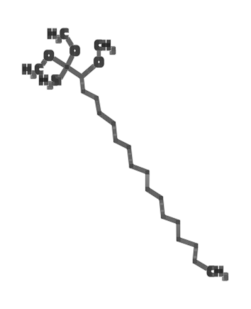 CCCCCCCCCCCCCCCCC(OC)C([SiH3])(OC)OC